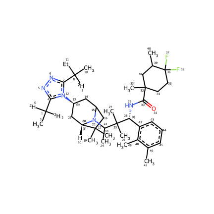 [2H]C([2H])(C)c1nnc(C([2H])(C)CC)n1[C@H]1CC2CC(C)(C)[C@H](C1)N2C(C)C(C)(C)[C@H](NC(=O)C1(C)CCC(F)(F)C(C)C1)c1cccc(C)c1C